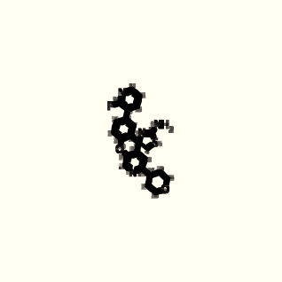 NC1=N[C@@]2(CS1)c1cc(-c3cccnc3F)ccc1Oc1cnc(C3CCOCC3)cc12